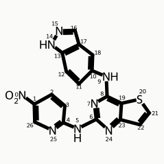 O=[N+]([O-])c1ccc(Nc2nc(Nc3ccc4[nH]ncc4c3)c3sccc3n2)nc1